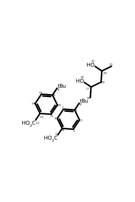 CC(C)(C)c1ccc(C(=O)O)cc1.CC(C)(C)c1ccc(C(=O)O)cc1.CC(O)CC(C)O